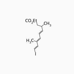 CCOC(=O)CC(C)/C=C/C=C(C)/C=C/I